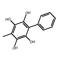 Cc1c(O)c(O)c(-c2ccccc2)c(O)c1O